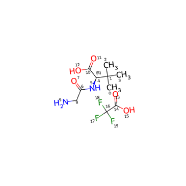 CC(C)(C)[C@@H](NC(=O)CN)C(=O)O.O=C(O)C(F)(F)F